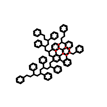 CCc1cc(CC(CC(CC(CC(CCc2ccccc2)c2ccccc2)c2ccccc2)c2ccccc2)c2ccccc2)c(CC(CC(CC(CCc2ccccc2)c2ccccc2)c2ccccc2)c2ccccc2)c(CC(CC(CCc2ccccc2)c2ccccc2)c2ccccc2)c1CC(CCc1ccccc1)c1ccccc1